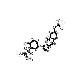 CC(=O)Oc1ccc(N=c2scc(-c3ccc(Cl)c(S(=O)(=O)N(C)C)c3)n2C)cc1